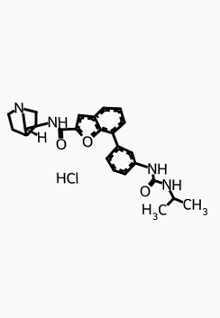 CC(C)NC(=O)Nc1cccc(-c2cccc3cc(C(=O)N[C@H]4CN5CCC4CC5)oc23)c1.Cl